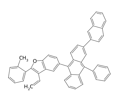 C=Cc1c(-c2ccccc2C)oc2ccc(-c3c4ccccc4c(-c4ccccc4)c4cc(-c5ccc6ccccc6c5)ccc34)cc12